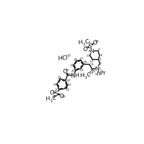 CCCN(CC1CCN(S(C)(=O)=O)CC1)[C@H](C)Cc1cccc(NC(=O)c2ccc(S(C)(=O)=O)cc2)c1.Cl